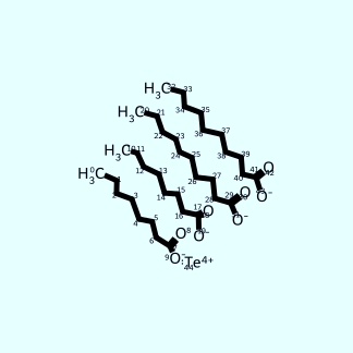 CCCCCCCC(=O)[O-].CCCCCCCC(=O)[O-].CCCCCCCCCC(=O)[O-].CCCCCCCCCC(=O)[O-].[Te+4]